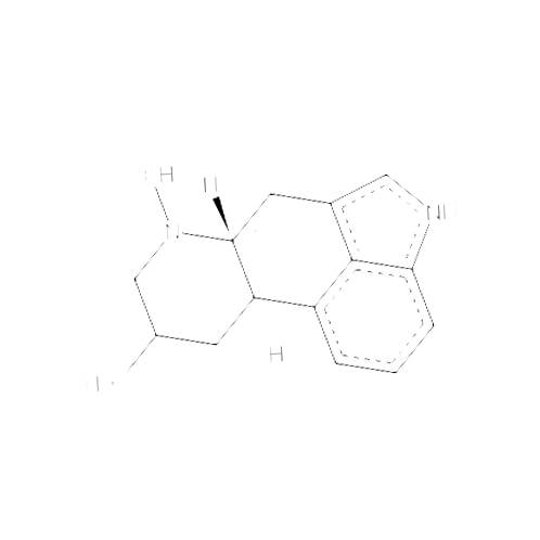 CC1C[C@@H]2c3cccc4[nH]cc(c34)C[C@H]2N(C)C1